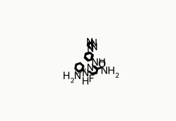 NC(=O)c1cc(F)c(N[C@@H]2CCCC[C@@H]2N)nc1Nc1cccc(-n2cnnn2)c1